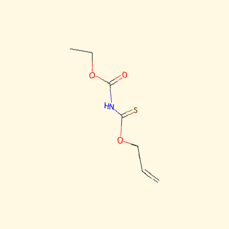 C=CCOC(=S)NC(=O)OCC